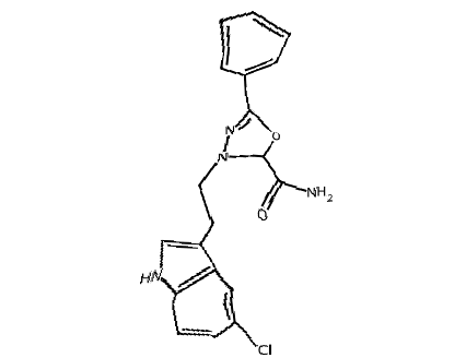 NC(=O)C1OC(c2ccccc2)=NN1CCc1c[nH]c2ccc(Cl)cc12